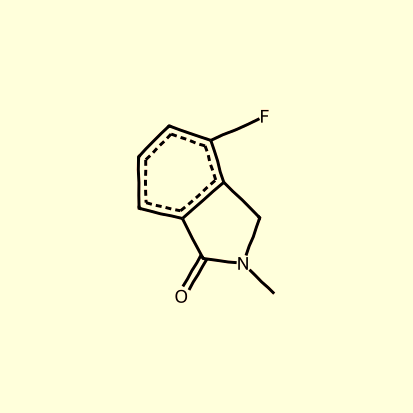 CN1Cc2c(F)cccc2C1=O